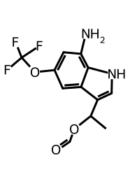 CC(OC=O)c1c[nH]c2c(N)cc(OC(F)(F)F)cc12